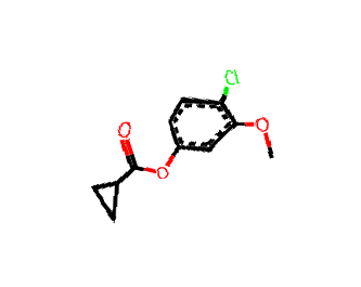 COc1cc(OC(=O)C2CC2)ccc1Cl